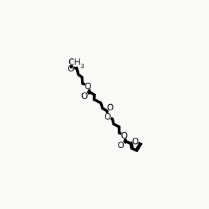 COCCCCOC(=O)CCCCC(=O)OCCCCOC(=O)c1ccco1